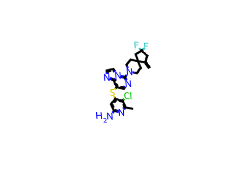 C=C1CC(F)(F)CC12CCN(c1ncc(Sc3cc(N)nc(C)c3Cl)c3nccn13)CC2